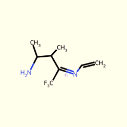 C=C/N=C(\C(C)C(C)N)C(F)(F)F